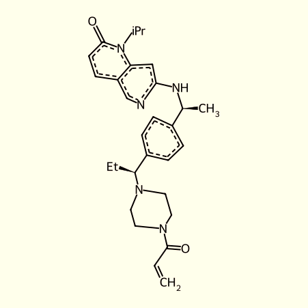 C=CC(=O)N1CCN([C@@H](CC)c2ccc([C@H](C)Nc3cc4c(ccc(=O)n4C(C)C)cn3)cc2)CC1